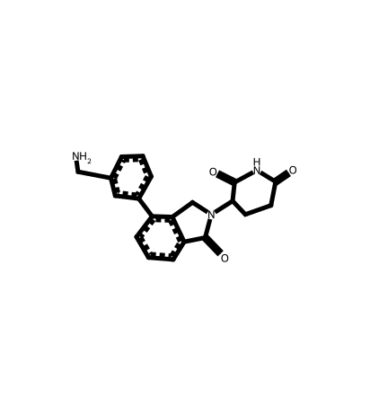 NCc1cccc(-c2cccc3c2CN(C2CCC(=O)NC2=O)C3=O)c1